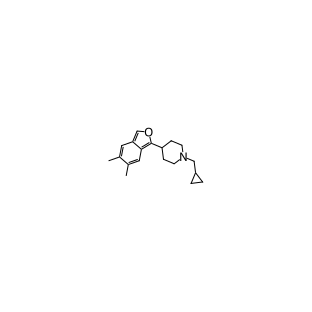 Cc1cc2coc(C3CCN(CC4CC4)CC3)c2cc1C